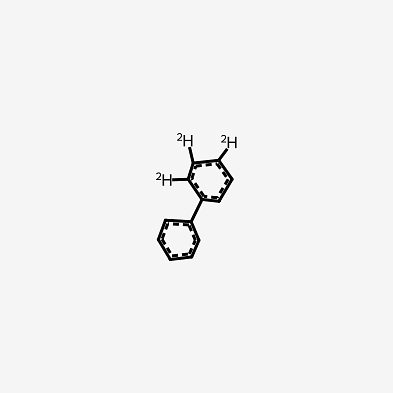 [2H]c1ccc(-c2ccccc2)c([2H])c1[2H]